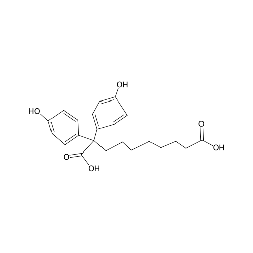 O=C(O)CCCCCCCC(C(=O)O)(c1ccc(O)cc1)c1ccc(O)cc1